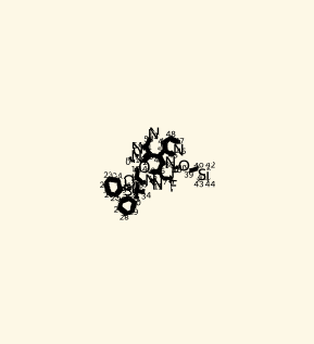 Cn1cc(-c2c(-c3c(C(F)F)nn4c3OCC(O[Si](c3ccccc3)(c3ccccc3)C(C)(C)C)C4)n(COCC[Si](C)(C)C)c3ncccc23)c(C#N)n1